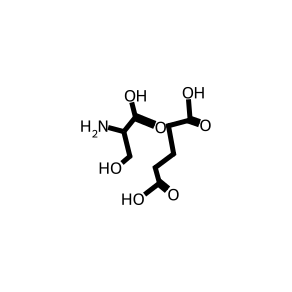 NC(CO)C(=O)O.O=C(O)CCCC(=O)O